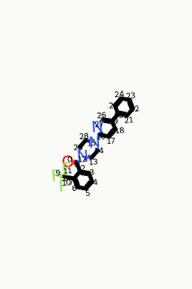 O=C(c1ccccc1C(F)(F)F)N1CCN(c2ccc(-c3ccccc3)cn2)CC1